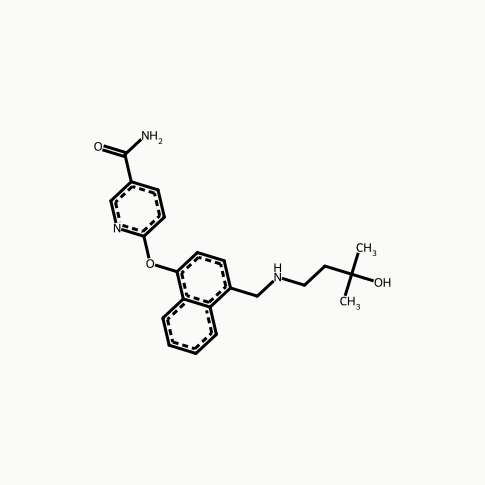 CC(C)(O)CCNCc1ccc(Oc2ccc(C(N)=O)cn2)c2ccccc12